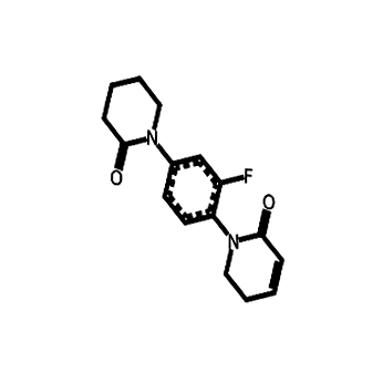 O=C1CCCCN1c1ccc(N2CCC=CC2=O)c(F)c1